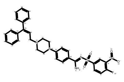 N/C(=N\S(=O)(=O)c1ccc(F)c([N+](=O)[O-])c1)c1ccc(N2CCN(CC=C(c3ccccc3)c3ccccc3)CC2)cc1